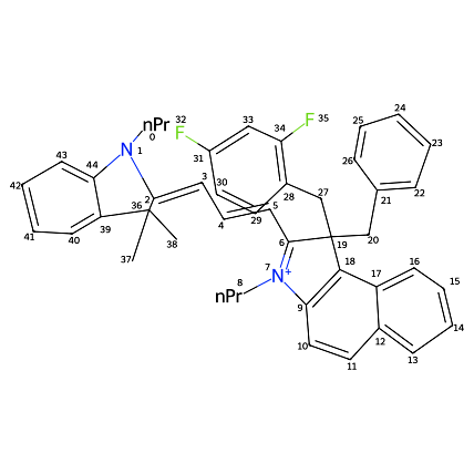 CCCN1/C(=C/C=C/C2=[N+](CCC)c3ccc4ccccc4c3C2(Cc2ccccc2)Cc2ccc(F)cc2F)C(C)(C)c2ccccc21